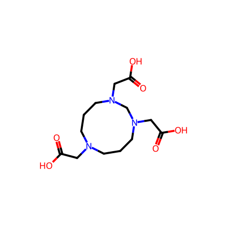 O=C(O)CN1CCCN(CC(=O)O)CN(CC(=O)O)CCC1